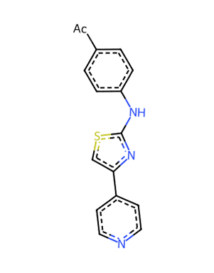 CC(=O)c1ccc(Nc2nc(-c3ccncc3)cs2)cc1